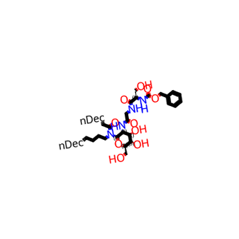 CCCCCCCCCCCCCCN(C(=O)CCCCCCCCCCC)[C@@H]1O[C@H](CO)[C@@H](O)[C@H](O)[C@H]1NC(=O)CNC(=O)[C@H](CO)NC(=O)OCc1ccccc1